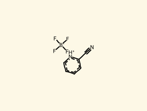 F[B-](F)(F)F.N#Cc1cccc[nH+]1